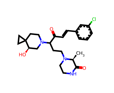 C[C@H]1C(=O)NCCN1CCC(C(=O)/C=C/c1cccc(Cl)c1)N1CCC2(CC2)[C@H](O)C1